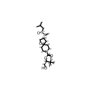 CC(C)C[S+]([O-])N(C)[C@H]1COC2(CCN(C(=O)O[C@H](CO)C(F)(F)F)CC2)C1